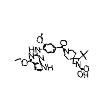 CCOc1nc(Nc2ccc(C(=O)N3CCC4(CC3)CN(C(=O)O)C4C(C)(C)C)cc2OC)nc2[nH]ccc12